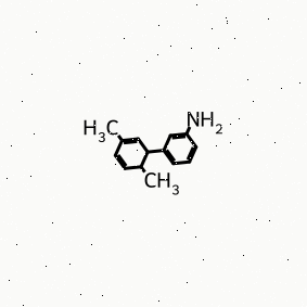 CC1=CC(c2cccc(N)c2)C(C)C=C1